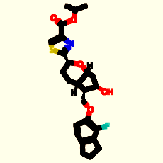 CC(C)OC(=O)c1csc([C@H]2CC[C@@H]3[C@@H](COc4ccc5c(c4F)CCC5)[C@H](O)C[C@@H]3O2)n1